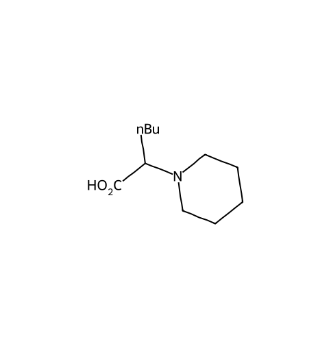 CCCCC(C(=O)O)N1CCCCC1